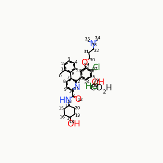 Cc1ccccc1-c1ccc(C(=O)NC2CCC(O)CC2)nc1-c1ccc(Cl)c(OCCCN(C)C)c1.Cl.O=C(O)O